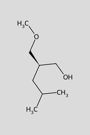 COC[C@@H](CO)CC(C)C